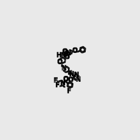 CC(C)N(CC(F)F)C(=O)c1cc(F)ccc1Oc1cncnc1N1CC2(CCN(C[C@@H]3CC[C@@H](NS(=O)(=O)N4CC(OCc5ccccc5)C4)CO3)CC2)C1